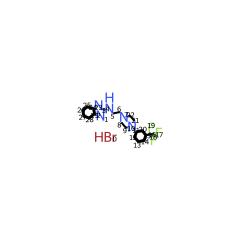 Br.Cn1c(NCCN2CCN(c3cccc(C(F)(F)F)c3)CC2)nc2ccccc21